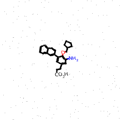 Nc1cc(CCC(=O)O)cc(-c2ccc3ccccc3c2)c1OCC1CCCC1